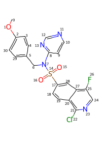 COc1ccc(CN(c2ccncn2)S(=O)(=O)c2ccc3c(Cl)ncc(F)c3c2)cc1